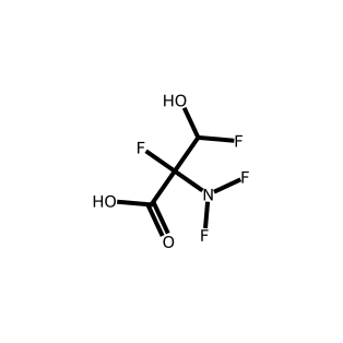 O=C(O)C(F)(C(O)F)N(F)F